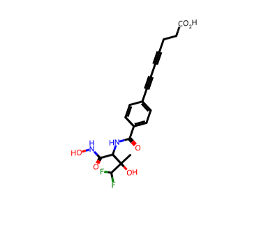 CC(O)(C(F)F)C(NC(=O)c1ccc(C#CC#CCCC(=O)O)cc1)C(=O)NO